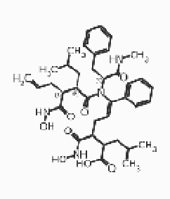 C=CC[C@H](C(=O)NO)[C@@H](CC(C)C)C(=O)N(C(=CCC(C(=O)NO)C(CC(C)C)C(=O)O)c1ccccc1)[C@@H](Cc1ccccc1)C(=O)NC